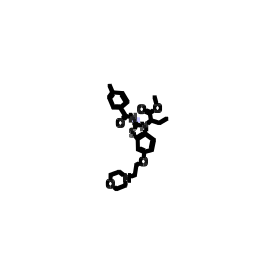 CCC(C(=O)OC)n1/c(=N/C(=O)c2ccc(C)cc2)sc2cc(OCCN3CCOCC3)ccc21